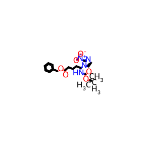 CC(C)(C)OC(=O)NC(CCCC(=O)OCc1ccccc1)n1ccnc1[N+](=O)[O-]